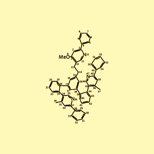 COc1cc(-c2ccccc2)ncc1CCc1cc(-c2ccccc2-c2cnc(-c3ccccc3)cc2C)cc(-c2ccccc2-c2cnc(-c3ccccc3)cc2C)c1